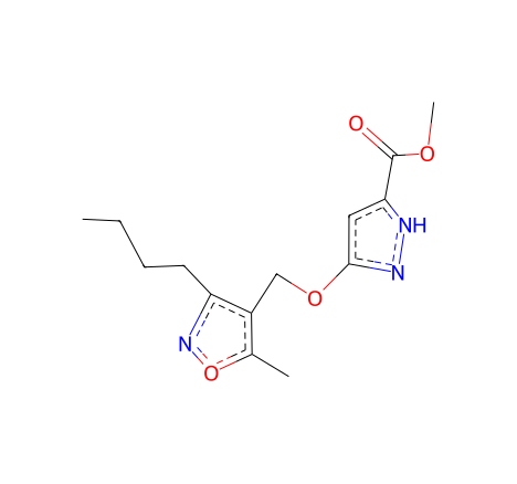 CCCCc1noc(C)c1COc1cc(C(=O)OC)[nH]n1